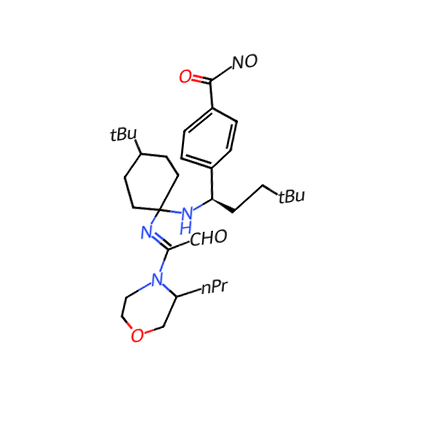 CCCC1COCCN1/C(C=O)=N/C1(N[C@H](CCC(C)(C)C)c2ccc(C(=O)N=O)cc2)CCC(C(C)(C)C)CC1